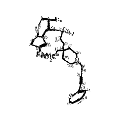 COc1ccc2ncc(F)c(C(O)CCC3(CC(=O)O)CCN(CC#Cc4cccs4)CC3)c2c1